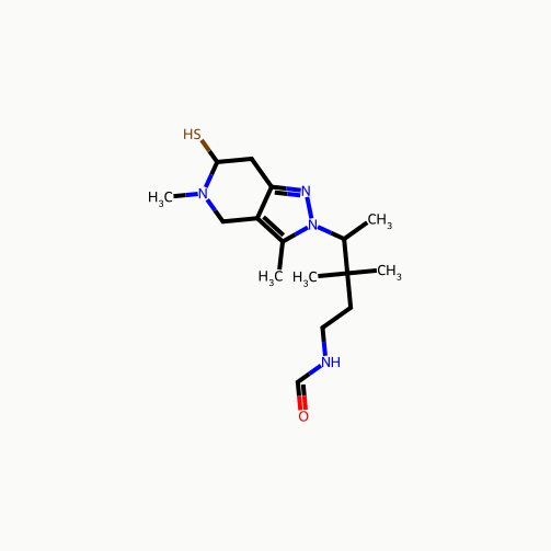 Cc1c2c(nn1C(C)C(C)(C)CCNC=O)CC(S)N(C)C2